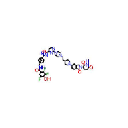 O=C1CCC(N2Cc3cc(N4CCC(CCN5CCN(c6nccc(-c7nc([C@]89CC[C@](CNC(=O)c%10cc(F)c(O)c(F)c%10F)(CC8)CC9)no7)n6)CC5)CC4)ccc3C2=O)C(=O)N1